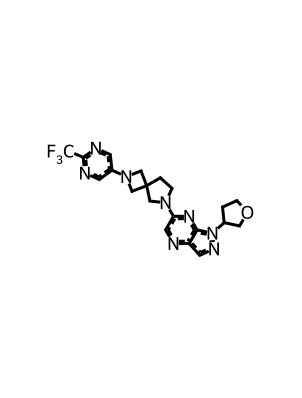 FC(F)(F)c1ncc(N2CC3(CCN(c4cnc5cnn(C6CCOC6)c5n4)C3)C2)cn1